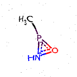 Cp1[nH]o1